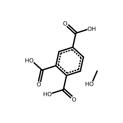 CO.O=C(O)c1ccc(C(=O)O)c(C(=O)O)c1